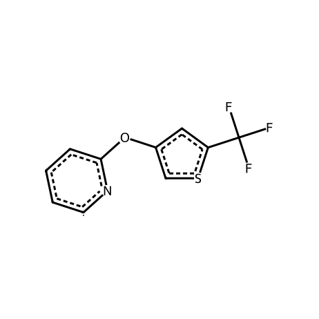 FC(F)(F)c1cc(Oc2ccc[c]n2)cs1